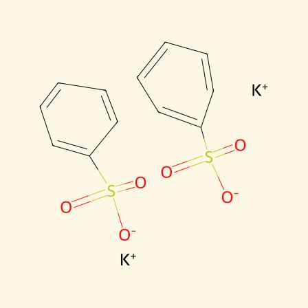 O=S(=O)([O-])c1ccccc1.O=S(=O)([O-])c1ccccc1.[K+].[K+]